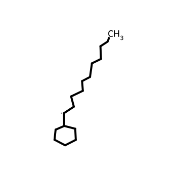 CCCCCCCCCC[CH]C1CCCCC1